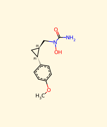 COc1ccc([C@@H]2C[C@H]2CN(O)C(N)=O)cc1